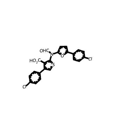 O=CN(c1ccc(-c2ccc(Cl)cc2)o1)c1scc(-c2ccc(Cl)cc2)c1C(=O)O